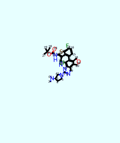 CN(C)[C@@H]1CCN(c2ncc3c4c(c(-c5ccc(F)c6sc(NC(=O)OC(C)(C)C)c(C#N)c56)c(Cl)c3n2)COC4)C1